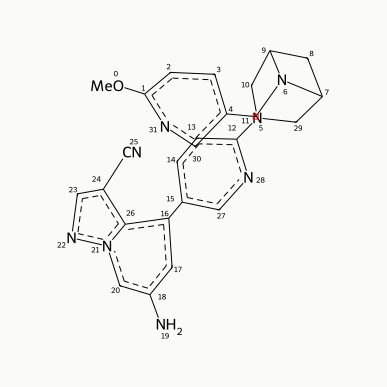 COc1ccc(CN2C3CC2CN(c2ccc(-c4cc(N)cn5ncc(C#N)c45)cn2)C3)cn1